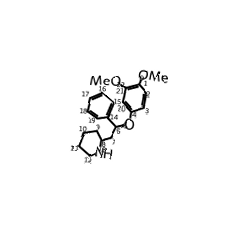 COc1ccc(OC(CC2CCCCN2)c2ccccc2)cc1OC